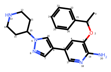 CC(Oc1cc(-c2cnn(C3CCNCC3)c2)cnc1N)c1ccccc1